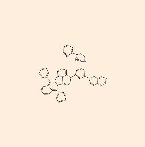 c1ccc(C2=c3ccccc3=C(c3ccccc3)C3c4ccc(-c5cc(-c6ccc7ccccc7c6)cc(-c6cccc(-c7ccccn7)n6)c5)c5cccc(c45)C23)cc1